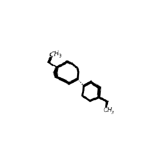 CCC1CCC([C@H]2CC[C@H](CC)CC2)CC1